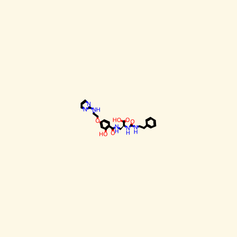 O=C(NCCc1ccccc1)N[C@@H](CNC(=O)c1ccc(OCCNc2ncccn2)cc1O)C(=O)O